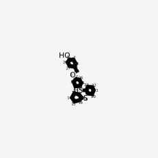 Oc1ccc(COc2ccc([SH]3c4ccccc4Sc4ccccc43)cc2)cc1